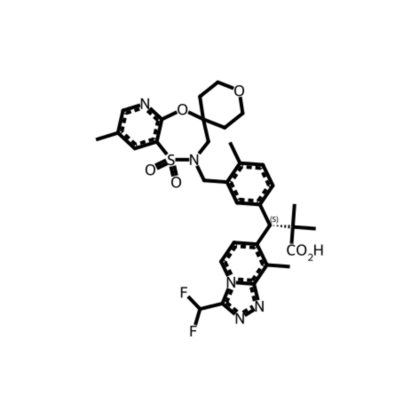 Cc1cnc2c(c1)S(=O)(=O)N(Cc1cc([C@@H](c3ccn4c(C(F)F)nnc4c3C)C(C)(C)C(=O)O)ccc1C)CC1(CCOCC1)O2